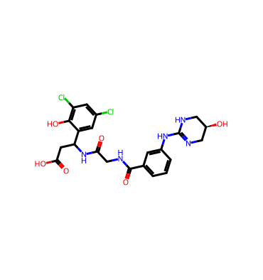 O=C(O)CC(NC(=O)CNC(=O)c1cccc(NC2=NC[C@H](O)CN2)c1)c1cc(Cl)cc(Cl)c1O